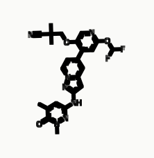 Cc1cc(Nc2cc3cc(-c4cc(OC(F)F)ncc4OCC(C)(C)C#N)ccn3n2)nn(C)c1=O